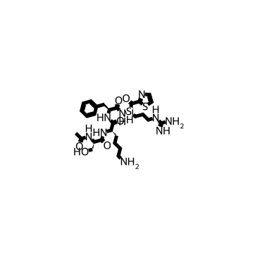 CC(=O)N[C@@H](CO)C(=O)N[C@@H](CCCCN)C(=O)N[C@@H](Cc1ccccc1)C(=O)N[SiH](CCCNC(=N)N)C(=O)c1nccs1